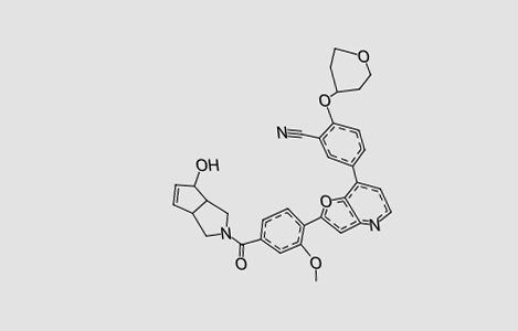 COc1cc(C(=O)N2CC3C=CC(O)C3C2)ccc1-c1cc2nccc(-c3ccc(OC4CCOCC4)c(C#N)c3)c2o1